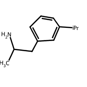 CC(N)Cc1cccc(C(C)C)c1